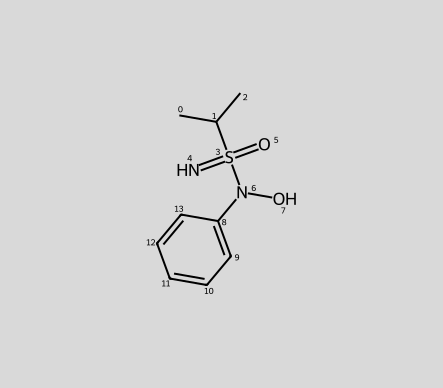 CC(C)S(=N)(=O)N(O)c1ccccc1